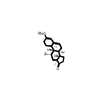 COC1=CC2=CC[C@@H]3[C@H]([C@@H](F)C[C@]4(C)C(=O)CC[C@@H]34)[C@@]2(C)CC1